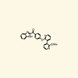 COc1ncccc1-c1cccnc1Oc1ccc(C(=O)c2nc3ccccc3[nH]2)cc1